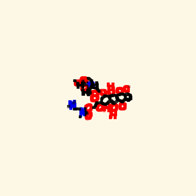 COc1cccc2c1C(=O)c1c(O)c3c(c(O)c1C2=O)C[C@@](O)(C(=O)COC(=O)N(C)CCN(C)C)C[C@@H]3OC1C[C@H]2[C@H](O[C@@H]3[C@@H](OC)OCCN32)[C@H](C)O1